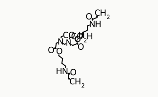 C=CC(=O)NCCCCOC(=O)CN(CC(=O)O)CN(CC(=O)O)CC(=O)OCCCCNC(=O)C=C